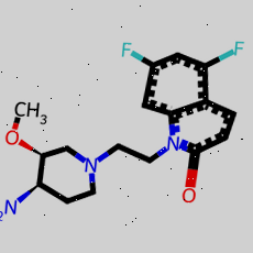 CO[C@H]1CN(CCn2c(=O)ccc3c(F)cc(F)cc32)CC[C@H]1N